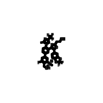 Cc1nc(C(F)(F)F)cn1-c1ccc(-c2cc(F)c(CO)c(S(C)(=O)=O)c2)cc1-c1nc(CCO)oc1-c1ccc2c(c1)OC(F)(F)O2